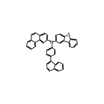 c1ccc2c(-c3ccc(N(c4ccc5ccc6ccccc6c5c4)c4ccc5sc6ccccc6c5c4)cc3)cccc2c1